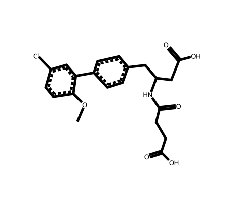 COc1ccc(Cl)cc1-c1ccc(CC(CC(=O)O)NC(=O)CCC(=O)O)cc1